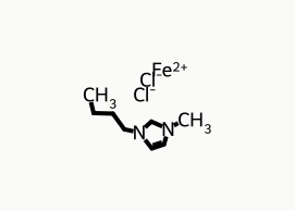 CCCCN1C=CN(C)C1.[Cl-].[Cl-].[Fe+2]